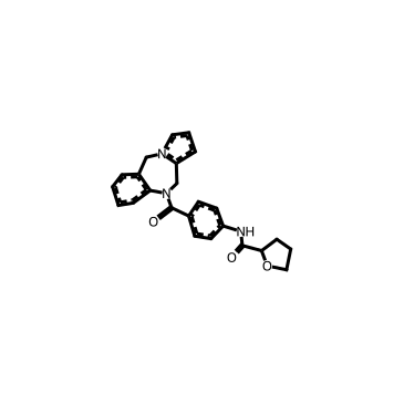 O=C(Nc1ccc(C(=O)N2Cc3cccn3Cc3ccccc32)cc1)C1CCCO1